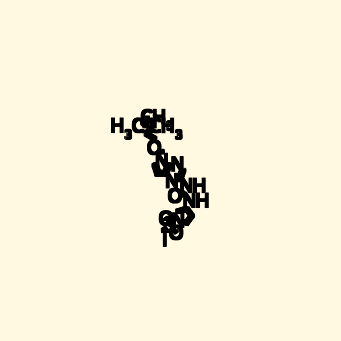 C[Si](C)(C)CCOCn1ccc2nc(NC(=O)NC3CCN(S(=O)(=O)CI)C3)cnc21